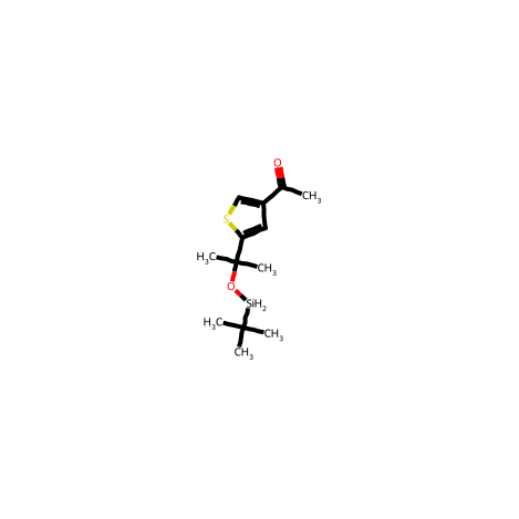 CC(=O)c1csc(C(C)(C)O[SiH2]C(C)(C)C)c1